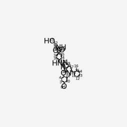 COc1cccc(Cn2c(-c3ccccc3C)cc3cnc(Nc4ccc(S(=O)(=O)NCCO)cc4)nc3c2=O)c1